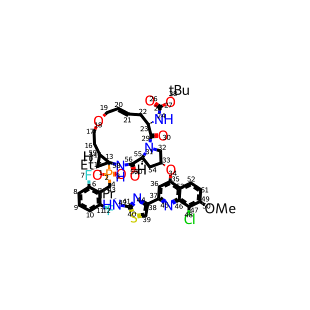 CCOP(=O)(Cc1c(F)cccc1F)[C@@]12C[C@H]1CCOC/C=C/C[C@H](NC(=O)OC(C)(C)C)C(=O)N1C[C@H](Oc3cc(-c4csc(NC(C)C)n4)nc4c(Cl)c(OC)ccc34)C[C@H]1C(=O)N2